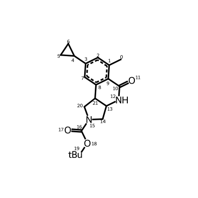 Cc1cc(C2CC2)cc2c1C(=O)NC1CN(C(=O)OC(C)(C)C)CC21